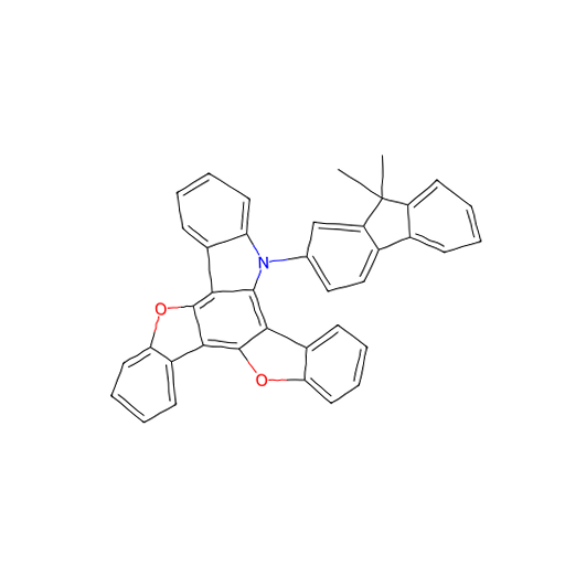 CC1(C)c2ccccc2-c2ccc(-n3c4ccccc4c4c5oc6ccccc6c5c5oc6ccccc6c5c43)cc21